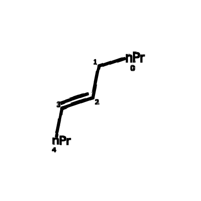 C[CH]CC/C=C/CCC